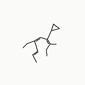 C/C=C/C(=C\C(=C(\C)CC)C1CC1)CC